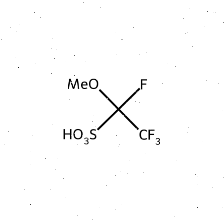 COC(F)(C(F)(F)F)S(=O)(=O)O